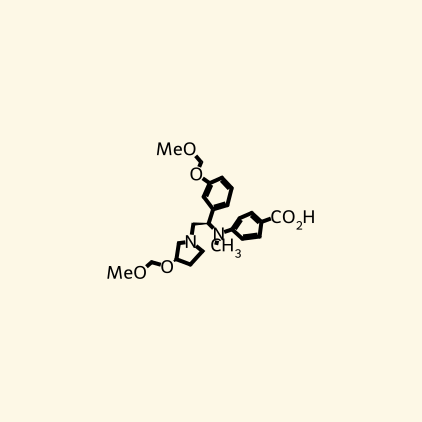 COCOc1cccc([C@H](CN2CC[C@H](OCOC)C2)N(C)c2ccc(C(=O)O)cc2)c1